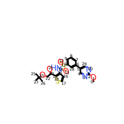 COc1ncc(-c2cccc(S(=O)(=O)Nc3ccsc3C(=O)COC(C)(C)C)c2)cn1